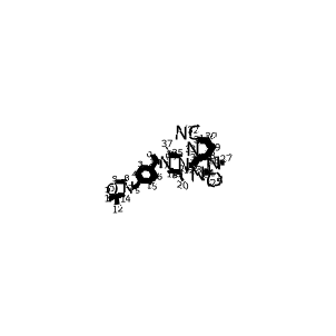 CC(c1ccc(CN2CCOC(C)(C)C2)cc1)N1C[C@H](C)N(c2nc(=O)n(C)c3ccc(C#N)nc23)C[C@H]1C